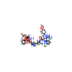 CCO[C@H]1CC[C@H](N/C=C(/NC(=O)c2csc(-c3cnn(COP(=O)(N[C@H](C)C(=O)OC(C)C)Oc4ccccc4)c3)n2)C(=N)c2nc(F)ccc2F)CC1